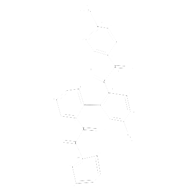 O=C(C(=O)c1ccccc1-c1cc([N+](=O)[O-])ccc1C(=O)C(=O)c1ccc([N+](=O)[O-])cc1)c1ccccc1